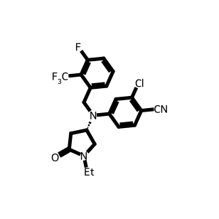 CCN1C[C@@H](N(Cc2cccc(F)c2C(F)(F)F)c2ccc(C#N)c(Cl)c2)CC1=O